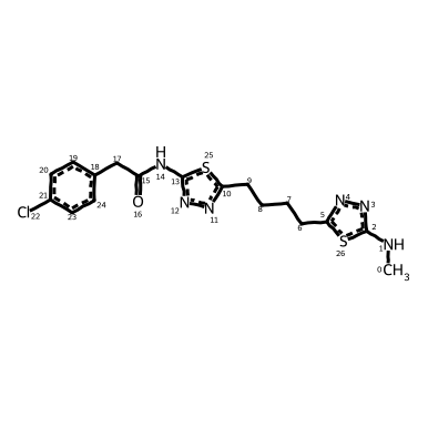 CNc1nnc(CCCCc2nnc(NC(=O)Cc3ccc(Cl)cc3)s2)s1